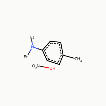 CCN(CC)c1ccc(C)cc1.O=[N+]([O-])O